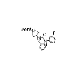 CCCC(C)N1CCC(N(Cc2ccccc2)C(=O)Nc2cccc(F)c2)CC1